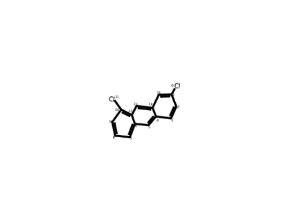 Clc1[c]cc2cc3cc[c]c(Cl)c3cc2c1